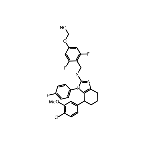 COc1cc(C2CCCc3nc(SCc4c(F)cc(OCC#N)cc4F)n(-c4ccc(F)cc4)c32)ccc1Cl